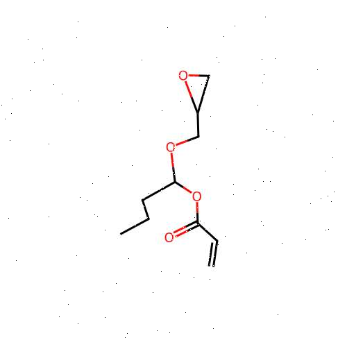 C=CC(=O)OC(CCC)OCC1CO1